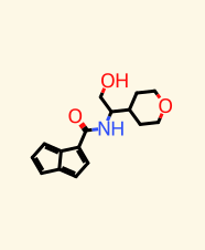 O=C(NC(CO)C1CCOCC1)C1=CC=C2C=CC=C21